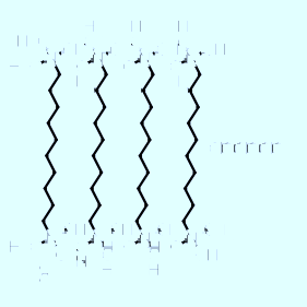 C[N+](C)(C)CCCCCCCCCC[N+](C)(C)C.C[N+](C)(C)CCCCCCCCCC[N+](C)(C)C.C[N+](C)(C)CCCCCCCCCC[N+](C)(C)C.C[N+](C)(C)CCCCCCCCCC[N+](C)(C)C.[Cl-].[Cl-].[Cl-].[Cl-].[Cl-].[Cl-].[Cl-].[Cl-]